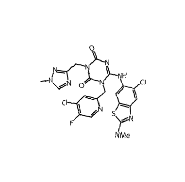 CNc1nc2cc(Cl)c(Nc3nc(=O)n(Cc4ncn(C)n4)c(=O)n3Cc3cc(Cl)c(F)cn3)cc2s1